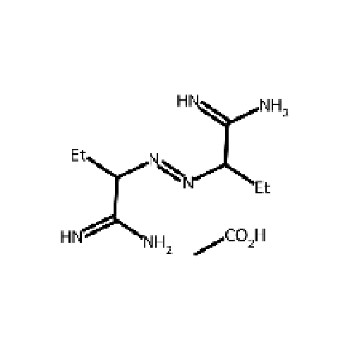 CC(=O)O.CCC(N=NC(CC)C(=N)N)C(=N)N